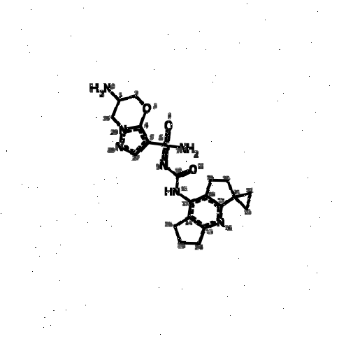 NC1COc2c(S(N)(=O)=NC(=O)Nc3c4c(nc5c3CCC53CC3)CCC4)cnn2C1